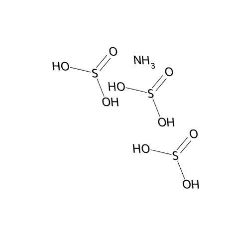 N.O=S(O)O.O=S(O)O.O=S(O)O